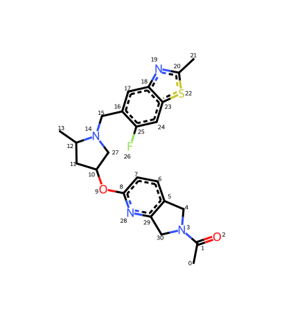 CC(=O)N1Cc2ccc(OC3CC(C)N(Cc4cc5nc(C)sc5cc4F)C3)nc2C1